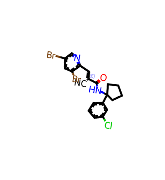 N#C/C(=C\c1ncc(Br)cc1Br)C(=O)NC1(c2cccc(Cl)c2)CCCC1